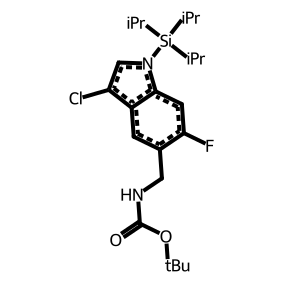 CC(C)[Si](C(C)C)(C(C)C)n1cc(Cl)c2cc(CNC(=O)OC(C)(C)C)c(F)cc21